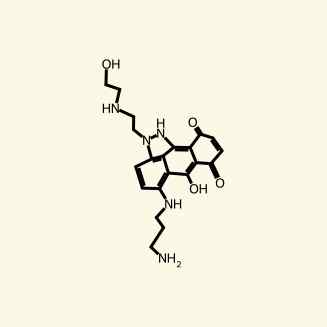 NCCCNc1ccc2c3c(c4c(c(O)c13)C(=O)C=CC4=O)NN2CCNCCO